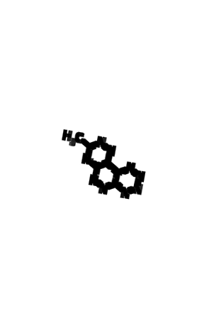 Cc1nnc2c(nnc3nnnnc32)n1